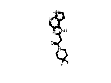 O=C(Cc1nc2cnc3[nH]ccc3c2[nH]1)N1CCC(F)(F)CC1